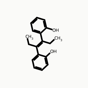 CC/C(=C(/CC)c1ccccc1O)c1ccccc1O